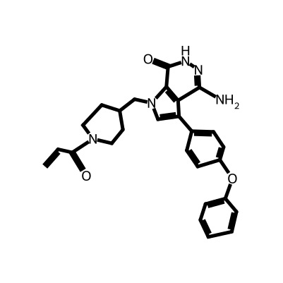 C=CC(=O)N1CCC(Cn2cc(-c3ccc(Oc4ccccc4)cc3)c3c(N)n[nH]c(=O)c32)CC1